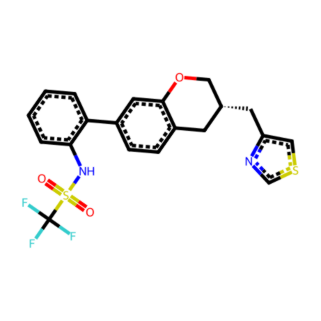 O=S(=O)(Nc1ccccc1-c1ccc2c(c1)OC[C@H](Cc1cscn1)C2)C(F)(F)F